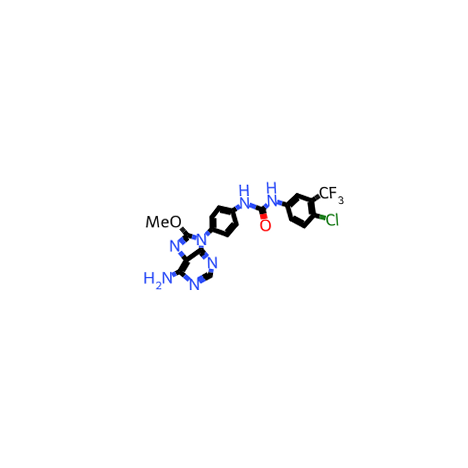 COc1nc2c(N)ncnc2n1-c1ccc(NC(=O)Nc2ccc(Cl)c(C(F)(F)F)c2)cc1